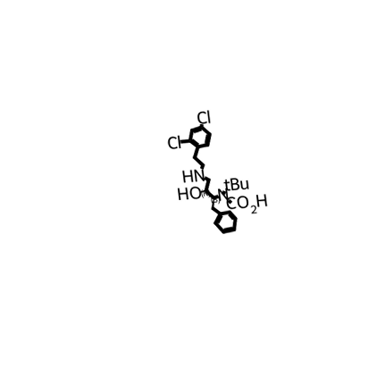 CC(C)(C)N(C(=O)O)[C@@H](Cc1ccccc1)[C@H](O)CNCCc1ccc(Cl)cc1Cl